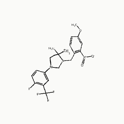 COc1ccc(CN2CN(c3ccc(F)c(C(F)(F)F)c3)CC2(C)C)c([N+](=O)[O-])c1